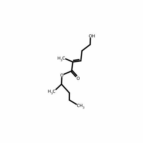 CCCC(C)OC(=O)/C(C)=C/CCO